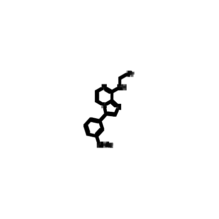 CC(=O)Nc1cccc(-c2cnc3c(NCC(C)C)nccn23)c1